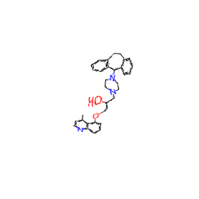 Cc1ccnc2cccc(OCC(O)CN3CCN(C4c5ccccc5CCc5ccccc54)CC3)c12